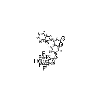 O=c1cc(-c2cc3ccccc3s2)c2ccc(Sc3ncc(C(O)(C(F)(F)F)C(F)(F)F)s3)cc2o1